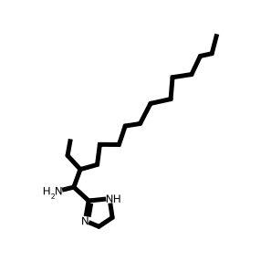 CCCCCCCCCCCCC(CC)C(N)C1=NCCN1